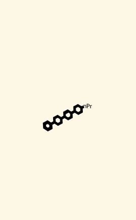 CCCC1CCC(C2C=CC(C3CCC(c4ccccc4)CC3)CC2)CC1